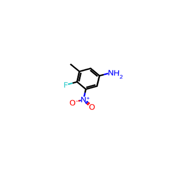 Cc1cc(N)cc([N+](=O)[O-])c1F